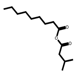 CCCCCCCCC(=O)OC(=O)CC(C)C